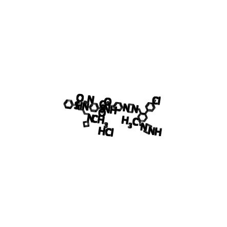 CN(CCC(CSc1ccccc1)Nc1ccc(S(=O)(=O)NC(=O)c2ccc(N3CCN(CC4=C(c5ccc(Cl)cc5)CCC(C)(CN5CCNCC5)C4)CC3)cc2)cc1[N+](=O)[O-])C1CCC1.Cl